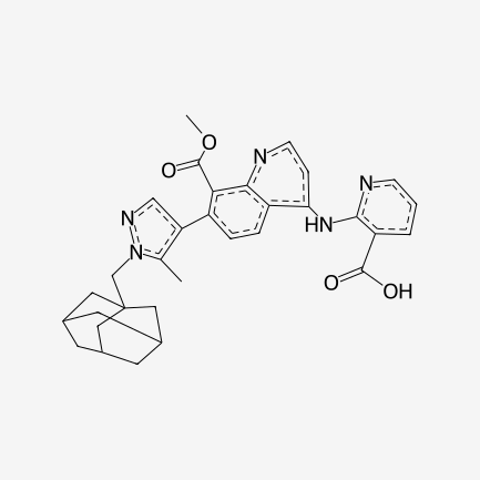 COC(=O)c1c(-c2cnn(CC34CC5CC(CC(C5)C3)C4)c2C)ccc2c(Nc3ncccc3C(=O)O)ccnc12